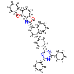 c1ccc(-c2nc(-c3ccccc3)nc(-c3ccc(-c4ccc(-c5nc6c(ccc7c8ccccc8oc76)o5)c5ccccc45)cc3)n2)cc1